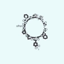 CCCCC[C@H]1C(=O)N(C)[C@H](C(=O)N2CCCCC2)CC(=O)N(C)[C@@H](CC(C)C)C(=O)N[C@@H]([C@@H](C)CC)C(=O)N(C)CC(=O)N(C)CC(=O)N(C)[C@@H](CC2CCCCC2)C(=O)N(C)CC(=O)N[C@@H](CCc2ccc(C(F)(F)F)c(Cl)c2)C(=O)N2CCC[C@H]2C(=O)NC2(CCCC2)C(=O)N1C